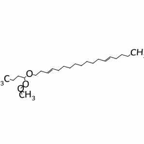 CCCCC=CCCCCCCCCC=CCCOC(CCC)OOC